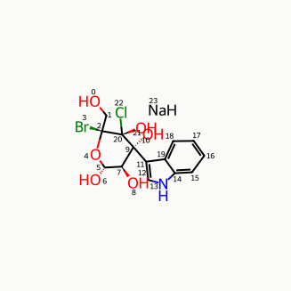 OC[C@@]1(Br)O[C@@H](O)[C@H](O)[C@](O)(c2c[nH]c3ccccc23)[C@@]1(O)Cl.[NaH]